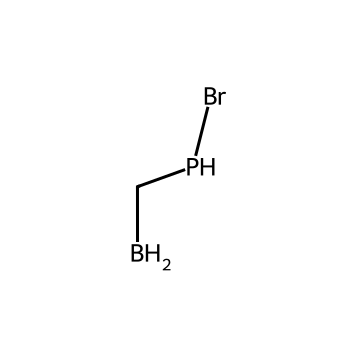 BCPBr